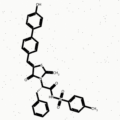 C=c1s/c(=C\c2ccc(-c3ccc(O)cc3)cc2)c(=O)n1[C@@H](Cc1ccccc1)C(=O)NS(=O)(=O)c1ccc(C)cc1